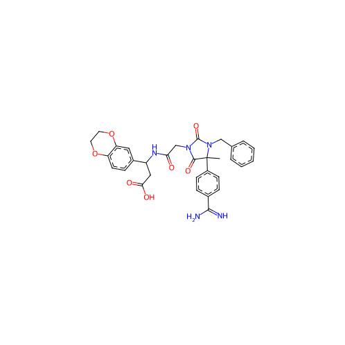 CC1(c2ccc(C(=N)N)cc2)C(=O)N(CC(=O)NC(CC(=O)O)c2ccc3c(c2)OCCO3)C(=O)N1Cc1ccccc1